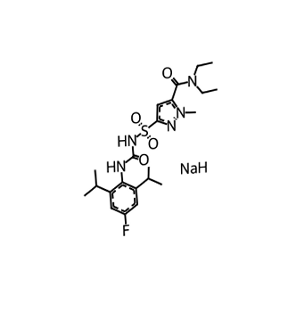 CCN(CC)C(=O)c1cc(S(=O)(=O)NC(=O)Nc2c(C(C)C)cc(F)cc2C(C)C)nn1C.[NaH]